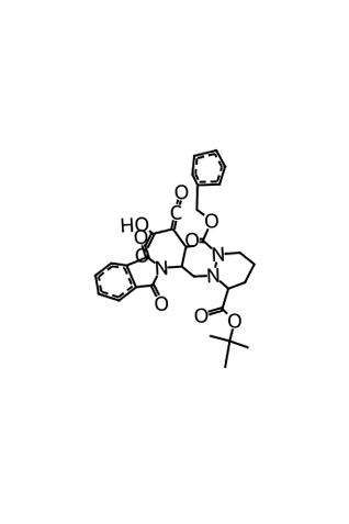 CC(C(=C=O)C(=O)O)C(CN1C(C(=O)OC(C)(C)C)CCCN1C(=O)OCc1ccccc1)N1C(=O)c2ccccc2C1=O